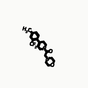 Cc1ccc(C2=CCN(C(=O)CN3CCOCC3)CC2)c(C(F)(F)F)c1